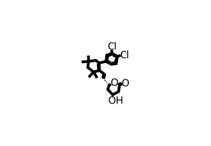 CC1(C)CC(c2ccc(Cl)c(Cl)c2)=C(C=C[C@H]2C[C@H](O)CC(=O)O2)C(C)(C)C1